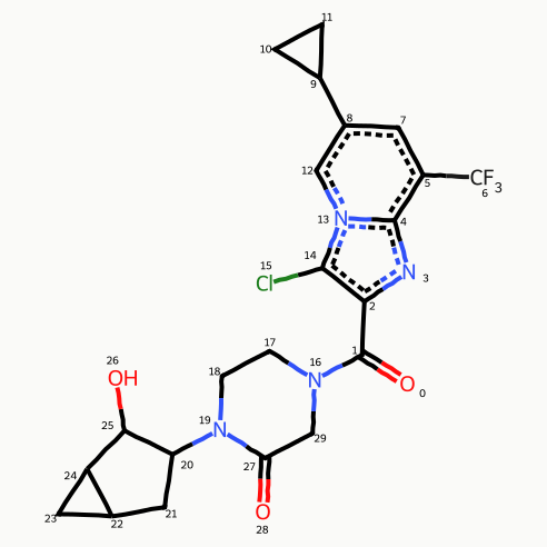 O=C(c1nc2c(C(F)(F)F)cc(C3CC3)cn2c1Cl)N1CCN(C2CC3CC3C2O)C(=O)C1